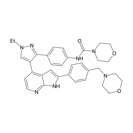 CCn1cc(-c2ccnc3[nH]c(-c4ccc(CN5CCOCC5)cc4)cc23)c(-c2ccc(NC(=O)N3CCOCC3)cc2)n1